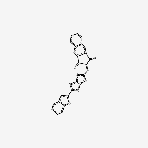 O=C1C(=Cc2nc3sc(-c4cc5ccccc5o4)nc3s2)C(=O)c2cc3ccccc3cc21